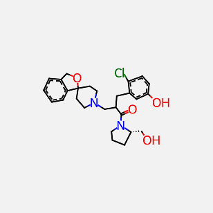 O=C(C(Cc1cc(O)ccc1Cl)CN1CCC2(CC1)OCc1ccccc12)N1CCC[C@H]1CO